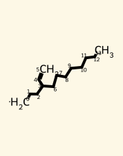 [CH2]CCC(C=C)CCCCCCCC